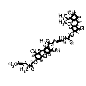 CC#CCN(C)C(=O)COc1cc(Cl)c(Cc2ccc(O)c(C(C)CCC#CCNC(=O)COc3cc(Cl)c(Cc4ccc(O)c(C(C)C)c4)c(Cl)c3)c2)c(Cl)c1